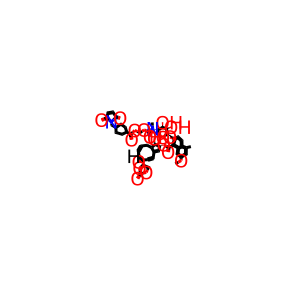 COc1cc(C)c2ccc(O)c(C(=O)O[C@@H]3C=C4C#C[C@]5(C6COC(=O)O6)O[C@@H]5C#CCC4[C@H]3O[C@H]3O[C@H](C)[C@H](O)[C@H](O)[C@H]3N(C)C(=O)OCOC(=O)C3CCC(CN4C(=O)C=CC4=O)CC3)c2c1